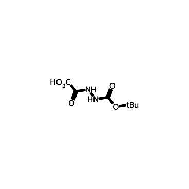 CC(C)(C)OC(=O)NNC(=O)C(=O)O